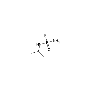 CC(C)NP(N)(=O)F